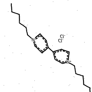 CCCCCC[n+]1ccc(-c2cc[n+](CCCCCC)cc2)cc1.[Cl-].[Cl-]